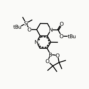 Cc1c(B2OC(C)(C)C(C)(C)O2)cnc2c1N(C(=O)OC(C)(C)C)CCC2O[Si](C)(C)C(C)(C)C